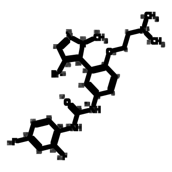 CN(C)CCOc1ccc(NC(=O)Nc2ccc(F)cc2F)cc1-c1c(Br)cnn1C